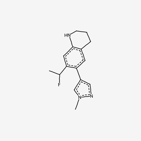 CC(F)c1cc2c(cc1-c1cnn(C)c1)CCCN2